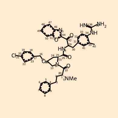 CN[C@H](CCc1ccccc1)C(=O)N1C[C@H](OCc2ccc(Cl)cc2)C[C@H]1C(=O)NC(Cc1ccc(NC(=N)N)c(C)c1)C(=O)c1nc2ccccc2o1